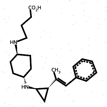 C/C(=C\c1ccccc1)[C@@H]1C[C@H]1N[C@H]1CC[C@H](NCCCC(=O)O)CC1